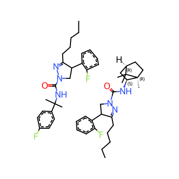 CCCCCC1=NN(C(=O)NC(C)(C)c2ccc(F)cc2)CC1c1ccccc1F.CCCCCC1=NN(C(=O)N[C@H]2C[C@H]3CC[C@]2(C)C3(C)C)CC1c1ccccc1F